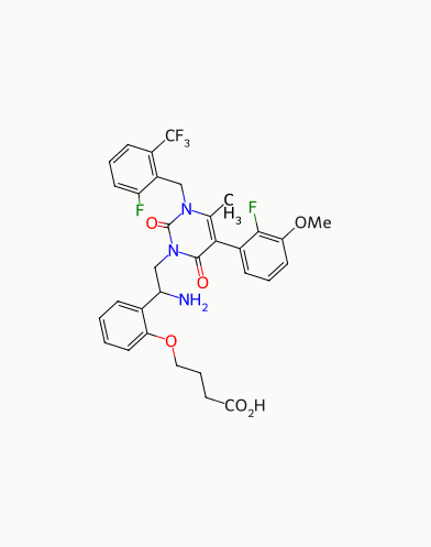 COc1cccc(-c2c(C)n(Cc3c(F)cccc3C(F)(F)F)c(=O)n(CC(N)c3ccccc3OCCCC(=O)O)c2=O)c1F